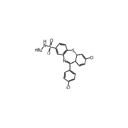 CCCCNS(=O)(=O)c1ccc2c(c1)N=C(c1ccc(Cl)cc1)C1C=CC(Cl)=CC1S2